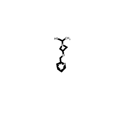 CC(S)N1CC(OCc2ccccn2)C1